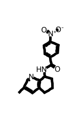 Cc1cnc2c(c1)CCCC2NC(=O)c1ccc([N+](=O)[O-])cc1